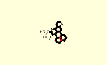 O=C(O)c1nc2c(c(-c3ccccc3)cc3ncccc32)c(-c2ccccc2)c1C(=O)O